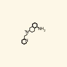 CN(CCc1ccccn1)C1CCc2c(N)cccc2C1